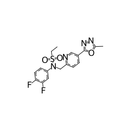 CCS(=O)(=O)N(Cc1ccc(-c2nnc(C)o2)cn1)c1ccc(F)c(F)c1